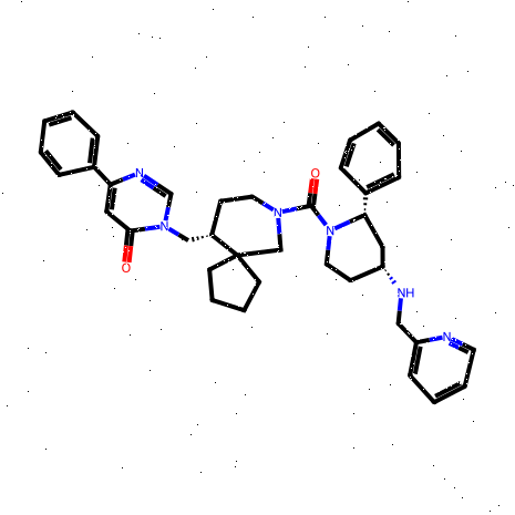 O=C(N1CC[C@@H](Cn2cnc(-c3ccccc3)cc2=O)C2(CCCC2)C1)N1CC[C@@H](NCc2ccccn2)C[C@H]1c1ccccc1